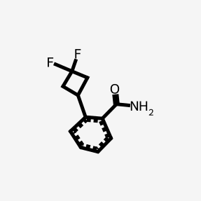 NC(=O)c1ccccc1C1CC(F)(F)C1